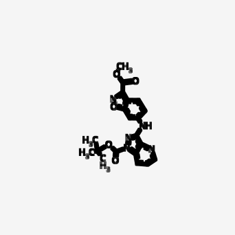 COC(=O)c1noc2cc(Nc3nn(C(=O)OC(C)(C)C)c4cccnc34)ccc12